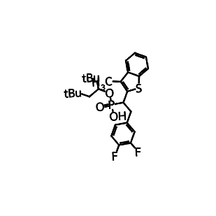 Cc1c(C(Cc2ccc(F)c(F)c2)P(=O)(O)OC(CC(C)(C)C)C(C)(C)C)sc2ccccc12